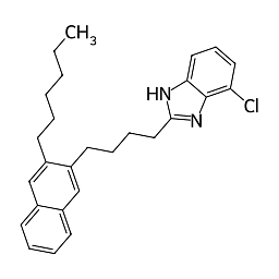 CCCCCCc1cc2ccccc2cc1CCCCc1nc2c(Cl)cccc2[nH]1